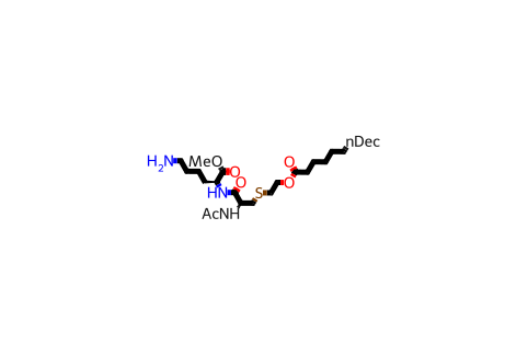 CCCCCCCCCCCCCCCC(=O)OCCSC[C@@H](NC(C)=O)C(=O)N[C@@H](CCCCN)C(=O)OC